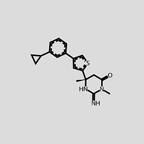 CN1C(=N)N[C@](C)(c2cc(-c3cccc(C4CC4)c3)cs2)CC1=O